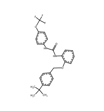 CC(C)(C)c1ccc(COc2ccccc2NC(=O)Nc2ccc(OC(F)(F)F)cc2)cc1